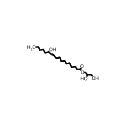 CCCCCC(O)C=CC=CCCCCCCCC(=O)OCC(O)CO